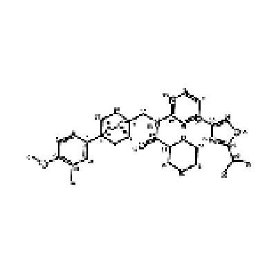 COc1ccc(C23CCC(CN(C(=O)C4CC[CH]CC4)c4cc(-c5coc(C(C)C)n5)ccn4)(CC2)CC3)cc1C